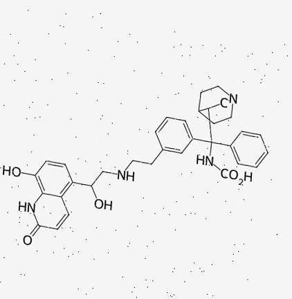 O=C(O)NC(c1ccccc1)(c1cccc(CCNCC(O)c2ccc(O)c3[nH]c(=O)ccc23)c1)C1CN2CCC1CC2